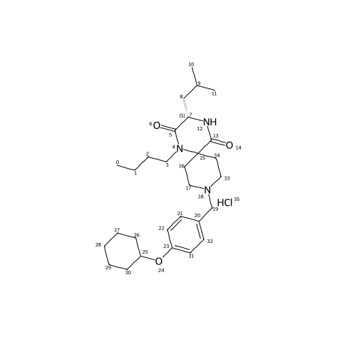 CCCCN1C(=O)[C@H](CC(C)C)NC(=O)C12CCN(Cc1ccc(OC3CCCCC3)cc1)CC2.Cl